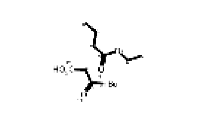 CCCC(=O)OCC.CCCCC(=O)CC(=O)O